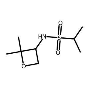 CC(C)S(=O)(=O)NC1COC1(C)C